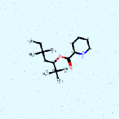 CCC(C)(C)CC(OC(=O)C1CCCCN1)C(C)(C)C